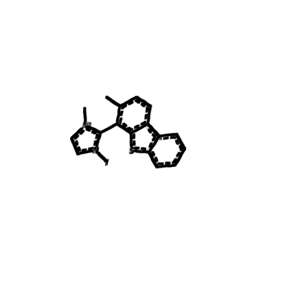 Cc1ccc2c(sc3ccccc32)c1-c1n(I)cc[n+]1C